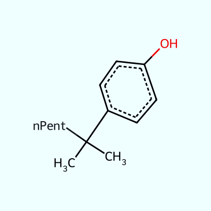 CCCCCC(C)(C)c1ccc(O)cc1